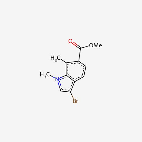 COC(=O)c1ccc2c(Br)cn(C)c2c1C